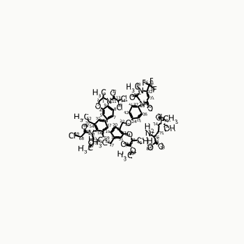 CC1COc2ccccc2N1C(=O)C(Cl)Cl.CCc1ccc(COc2ccc(-n3c(=O)cc(C(F)(F)F)n(C)c3=O)cc2)c(OC(C)C(=O)OC)c1.CCc1cccc(CC)c1N(COC)C(=O)CCl.CP(=O)(O)CCC(N)C(=O)O